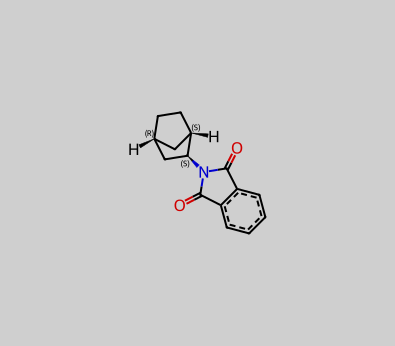 O=C1c2ccccc2C(=O)N1[C@H]1C[C@@H]2CC[C@H]1C2